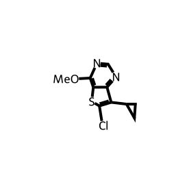 COc1ncnc2c(C3CC3)c(Cl)sc12